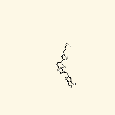 COCCn1cc(-c2cnc3nnn(Cc4cc5[nH]ncc5s4)c3n2)cn1